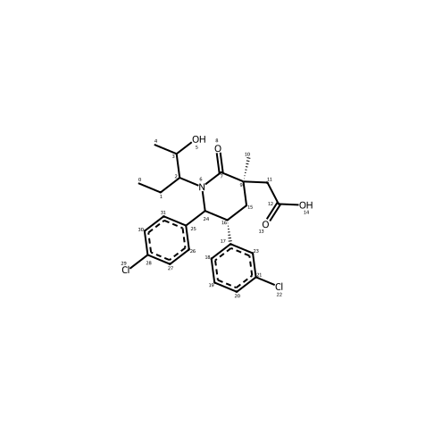 CCC(C(C)O)N1C(=O)[C@@](C)(CC(=O)O)C[C@H](c2cccc(Cl)c2)C1c1ccc(Cl)cc1